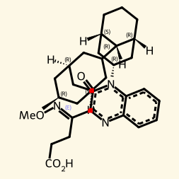 CO/N=C(\CCC(=O)O)c1nc2ccccc2n([C@H]2C[C@H]3CCC[C@@H](C2)[C@H]3C2C[C@@H]3C[C@H](C)C[C@H](C2)C3)c1=O